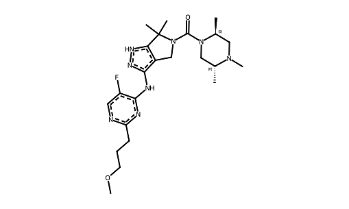 COCCCc1ncc(F)c(Nc2n[nH]c3c2CN(C(=O)N2C[C@@H](C)N(C)C[C@@H]2C)C3(C)C)n1